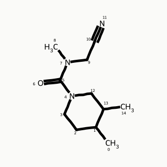 CC1CCN(C(=O)N(C)CC#N)CC1C